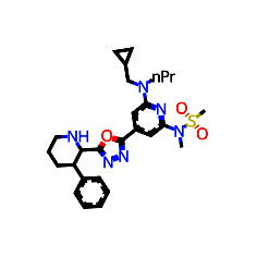 CCCN(CC1CC1)c1cc(-c2nnc(C3NCCCC3c3ccccc3)o2)cc(N(C)S(C)(=O)=O)n1